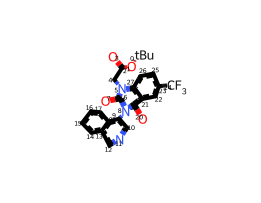 CC(C)(C)OC(=O)Cn1c(=O)n(-c2cncc3ccccc23)c(=O)c2cc(C(F)(F)F)ccc21